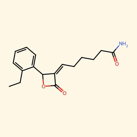 CCc1ccccc1C1OC(=O)C1=CCCCCC(N)=O